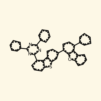 c1ccc(-c2nc(-c3ccccc3)nc(-c3cccc4sc5cc(-c6ccc(-c7ccccc7)c7c6oc6ccccc67)ccc5c34)n2)cc1